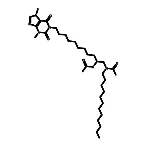 CCCCCCCCCCCCN(CC(CCCCCCCCCn1c(=O)c2c(ncn2C)n(C)c1=O)OC(C)=O)C(C)=O